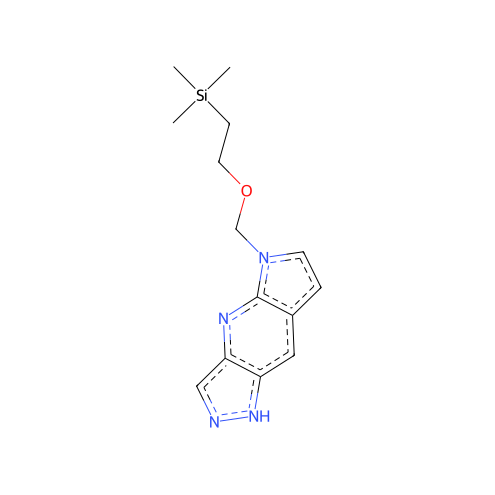 C[Si](C)(C)CCOCn1ccc2cc3[nH]ncc3nc21